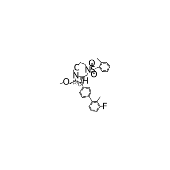 COC[C@@H]1[C@@H](c2ccc(-c3cccc(F)c3C)cc2)[C@@H]2CN(S(=O)(=O)c3ccccc3C)CCCCN12